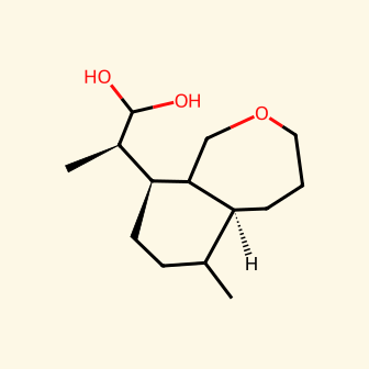 CC1CC[C@@H]([C@@H](C)C(O)O)C2COCCC[C@@H]12